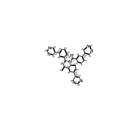 C=C(/N=C(\N=C(/N)c1cccc(-c2cncnc2)c1)c1cccc(-c2cncnc2)c1)c1cccc(-c2cncnc2)c1